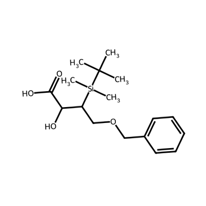 CC(C)(C)[Si](C)(C)C(COCc1ccccc1)C(O)C(=O)O